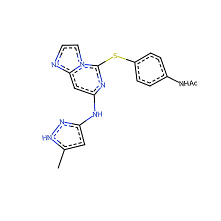 CC(=O)Nc1ccc(Sc2nc(Nc3cc(C)[nH]n3)cc3nccn23)cc1